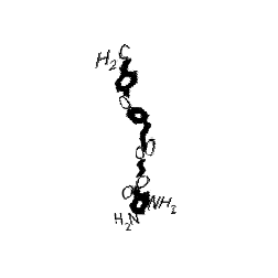 C=CCC1CCC(COc2ccc(C=CC(=O)OCCCCOC(=O)c3cc(N)cc(N)c3)cc2)CC1